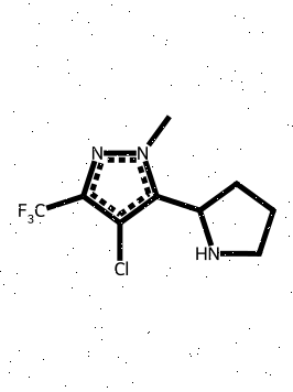 Cn1nc(C(F)(F)F)c(Cl)c1C1CCCN1